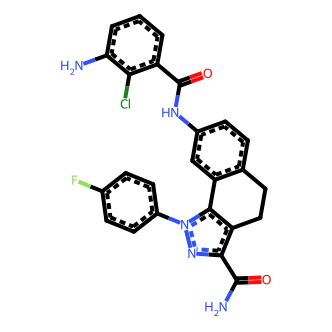 NC(=O)c1nn(-c2ccc(F)cc2)c2c1CCc1ccc(NC(=O)c3cccc(N)c3Cl)cc1-2